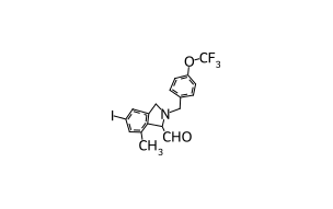 Cc1cc(I)cc2c1C(C=O)N(Cc1ccc(OC(F)(F)F)cc1)C2